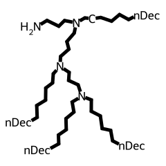 CCCCCCCCCCCCCCCCN(CCCN)CCCCN(CCCCCCCCCCCCCCCC)CCCN(CCCCCCCCCCCCCCCC)CCCCCCCCCCCCCCCC